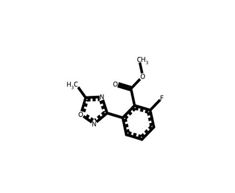 COC(=O)c1c(F)cccc1-c1noc(C)n1